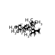 Cc1nc(N(c2cc(C)n(C)n2)c2ncc(N3CCN(C)[C@H](C)C3)c(N)n2)cc(C2CC2)c1F